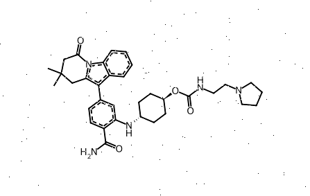 CC1(C)CC(=O)n2c(c(-c3ccc(C(N)=O)c(N[C@H]4CC[C@H](OC(=O)NCCN5CCCC5)CC4)c3)c3ccccc32)C1